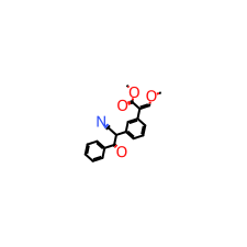 COC=C(C(=O)OC)c1cccc(C(C#N)C(=O)c2ccccc2)c1